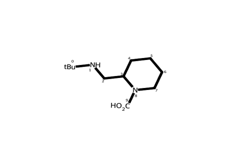 CC(C)(C)NCC1CCCCN1C(=O)O